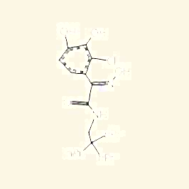 CCCC(CCC)(CCC)CNC(=O)/C(=N/O)c1ccc(O)c(O)c1Cl